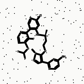 C[C@@H](CCOc1c(-c2nccc(N)n2)cnn1C)Nc1cc(Cl)ncc1-c1nccc(OC(F)F)c1F